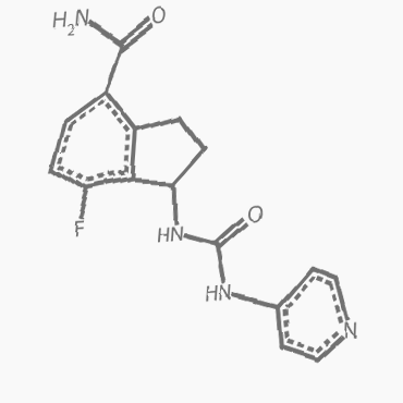 NC(=O)c1ccc(F)c2c1CCC2NC(=O)Nc1ccncc1